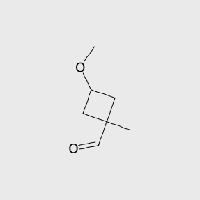 COC1CC(C)(C=O)C1